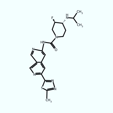 Cc1nnc(-c2cc3cc(NC(=O)N4CC[C@@H](NC(C)C)[C@H](F)C4)ncc3cn2)s1